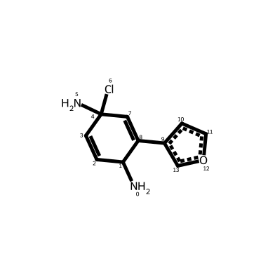 NC1C=CC(N)(Cl)C=C1c1ccoc1